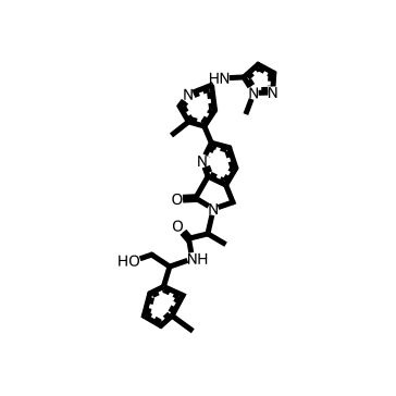 Cc1cccc(C(CO)NC(=O)C(C)N2Cc3ccc(-c4cc(Nc5ccnn5C)ncc4C)nc3C2=O)c1